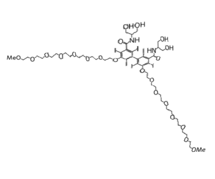 COCCOCCOCCOCCOCCOCCOCCOc1c(I)c(C(=O)NC(CO)CO)c(I)c(-c2c(I)c(OCCOCCOCCOCCOCCOCCOCCOC)c(I)c(C(=O)NC(CO)CO)c2I)c1I